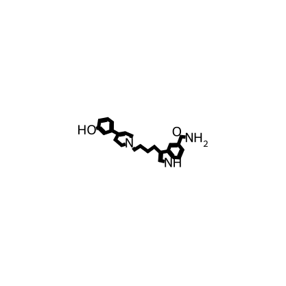 NC(=O)c1ccc2[nH]cc(CCCCN3CC=C(c4cccc(O)c4)CC3)c2c1